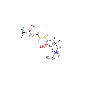 C=C(C)C(=O)OCCSC(O)CC(C)(C)C[N+](C)(C)CC